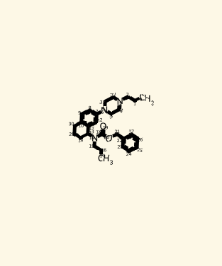 CCCN1CCN(c2ccc3c(c2)C(N(CCC)C(=O)OCc2ccccc2)CCC3)CC1